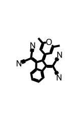 CC1=CC(=C2C(=C(C#N)C#N)c3ccccc3C2=C(C#N)C#N)C=C(C)O1